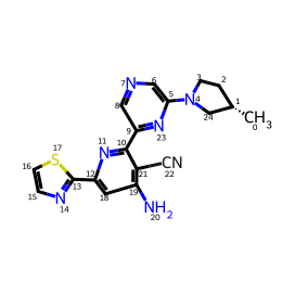 C[C@H]1CCN(c2cncc(-c3nc(-c4nccs4)cc(N)c3C#N)n2)C1